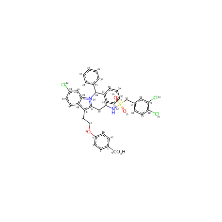 O=C(O)c1ccc(OCCc2c(CCNS(=O)(=O)Cc3ccc(Cl)c(Cl)c3)n(C(c3ccccc3)c3ccccc3)c3cc(Cl)ccc23)cc1